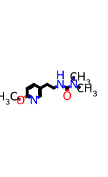 COc1ccc(CCNC(=O)N(C)C)cn1